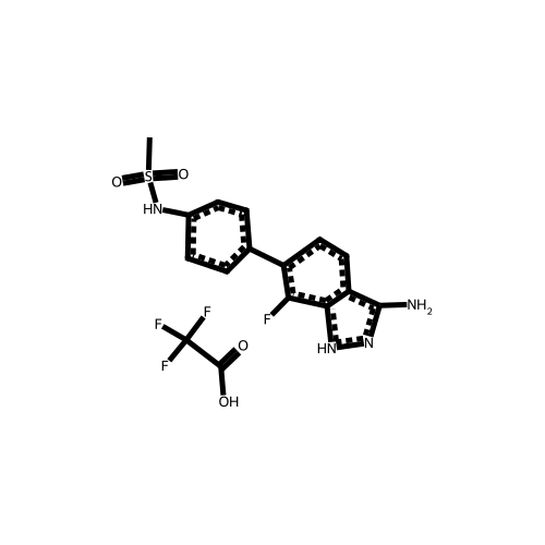 CS(=O)(=O)Nc1ccc(-c2ccc3c(N)n[nH]c3c2F)cc1.O=C(O)C(F)(F)F